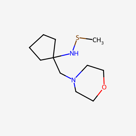 CSNC1(CN2CCOCC2)CCCC1